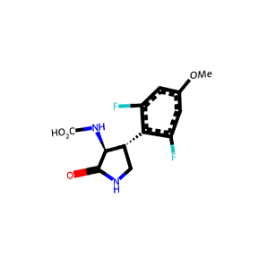 COc1cc(F)c([C@@H]2CNC(=O)[C@H]2NC(=O)O)c(F)c1